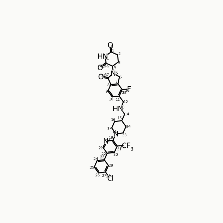 O=C1CCC(N2Cc3c(ccc(CNCC4CCN(c5ncc(-c6cccc(Cl)c6)cc5C(F)(F)F)CC4)c3F)C2=O)C(=O)N1